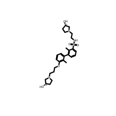 Cc1c(OCCCN2CC[C@@H](O)C2)cccc1-c1cccc(S(=O)(=O)NCCN2CC[C@@H](O)C2)c1C